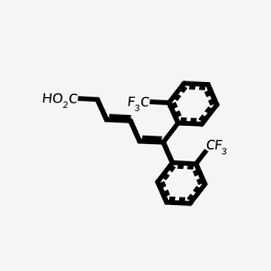 O=C(O)C/C=C/C=C(c1ccccc1C(F)(F)F)c1ccccc1C(F)(F)F